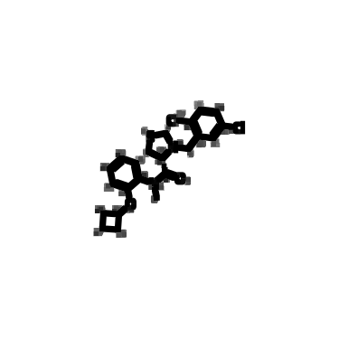 CN(C(=O)[C@@H]1CSCN1Cc1cc(Cl)ccc1Cl)c1ccccc1OC1CCC1